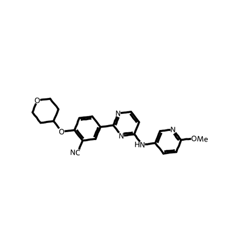 COc1ccc(Nc2ccnc(-c3ccc(OC4CCOCC4)c(C#N)c3)n2)cn1